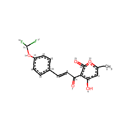 Cc1cc(O)c(C(=O)/C=C/c2ccc(OC(F)F)cc2)c(=O)o1